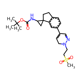 CC(C)(C)OC(=O)NC1CC12CCc1ccc(C3=CCN(CCS(C)(=O)=O)N=C3)cc12